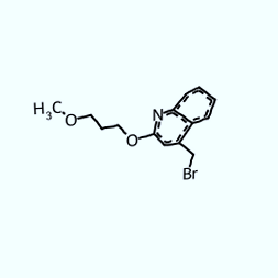 COCCCOc1cc(CBr)c2ccccc2n1